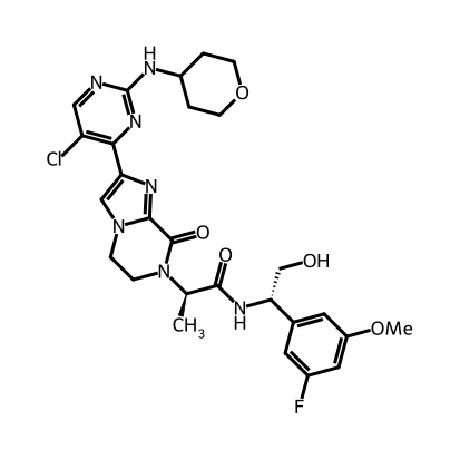 COc1cc(F)cc([C@@H](CO)NC(=O)[C@@H](C)N2CCn3cc(-c4nc(NC5CCOCC5)ncc4Cl)nc3C2=O)c1